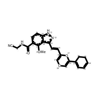 COc1c(C(=O)NCC#N)ccc2[nH]nc(C=CC3=COC=C(C4=CC=CCC4)O3)c12